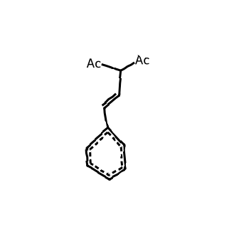 CC(=O)C(C=Cc1ccccc1)C(C)=O